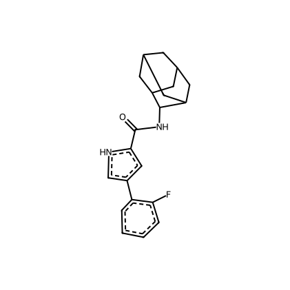 O=C(NC1C2CC3CC(C2)CC1C3)c1cc(-c2ccccc2F)c[nH]1